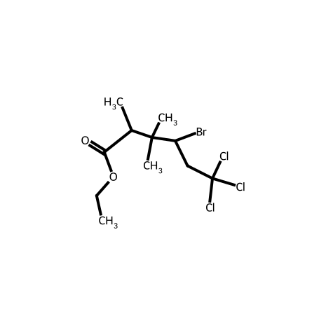 CCOC(=O)C(C)C(C)(C)C(Br)CC(Cl)(Cl)Cl